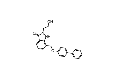 O=c1c2cccc(COc3ccc(-c4ccccc4)cc3)c2[nH]n1CCO